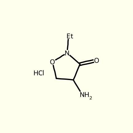 CCN1OCC(N)C1=O.Cl